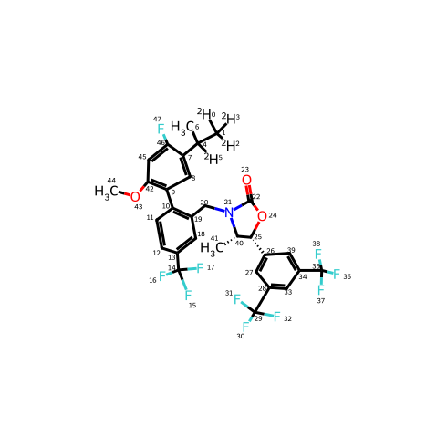 [2H]C([2H])([2H])C([2H])(C)c1cc(-c2ccc(C(F)(F)F)cc2CN2C(=O)O[C@H](c3cc(C(F)(F)F)cc(C(F)(F)F)c3)[C@@H]2C)c(OC)cc1F